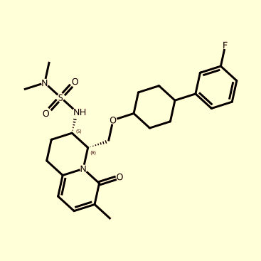 Cc1ccc2n(c1=O)[C@@H](COC1CCC(c3cccc(F)c3)CC1)[C@@H](NS(=O)(=O)N(C)C)CC2